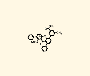 COc1c(-c2ccccc2)cccc1C([O])c1c(-c2ccccc2)ccc(-c2cc(C)cc(C(N)=O)c2)c1OC